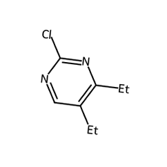 CCc1cnc(Cl)nc1CC